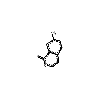 Nc1ccc2ccoc(=O)c2c1